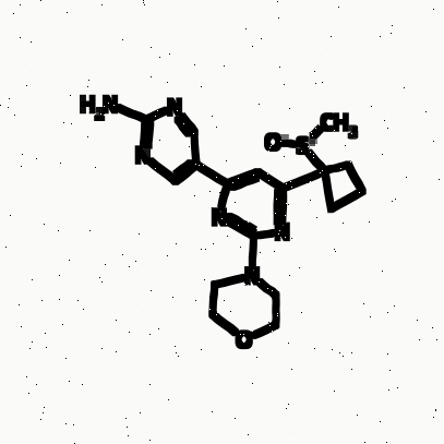 C[S+]([O-])C1(c2cc(-c3cnc(N)nc3)nc(N3CCOCC3)n2)CCC1